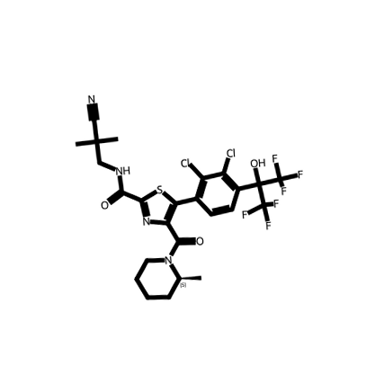 C[C@H]1CCCCN1C(=O)c1nc(C(=O)NCC(C)(C)C#N)sc1-c1ccc(C(O)(C(F)(F)F)C(F)(F)F)c(Cl)c1Cl